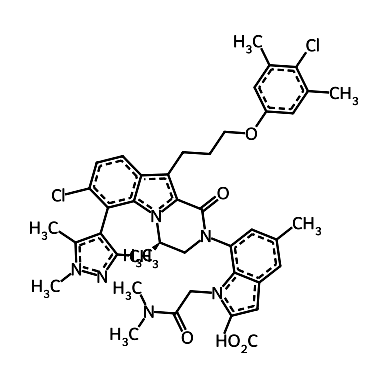 Cc1cc(N2C[C@@H](C)n3c(c(CCCOc4cc(C)c(Cl)c(C)c4)c4ccc(Cl)c(-c5c(C)nn(C)c5C)c43)C2=O)c2c(c1)cc(C(=O)O)n2CC(=O)N(C)C